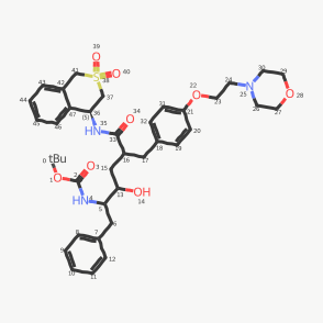 CC(C)(C)OC(=O)NC(Cc1ccccc1)C(O)CC(Cc1ccc(OCCN2CCOCC2)cc1)C(=O)N[C@@H]1CS(=O)(=O)Cc2ccccc21